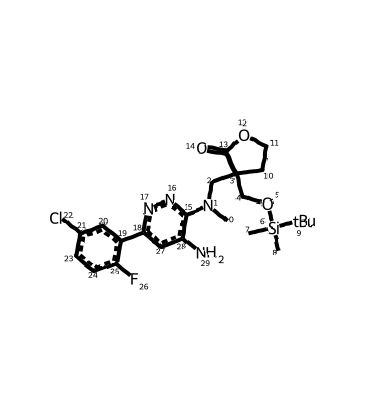 CN(CC1(CO[Si](C)(C)C(C)(C)C)CCOC1=O)c1nnc(-c2cc(Cl)ccc2F)cc1N